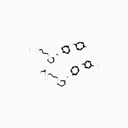 NC(=O)NCCCN1CCC[C@H]1COc1ccc(Oc2ccc(Cl)cc2)cc1.NCCCN1CCC[C@H]1COc1ccc(Oc2ccc(Cl)cc2)cc1